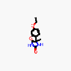 CCOc1ccc(C2(C)NC(=O)NC2=O)cc1